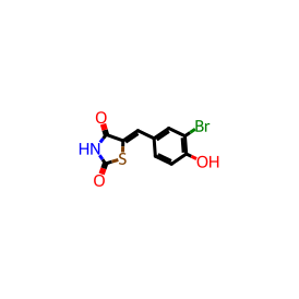 O=C1NC(=O)/C(=C/c2ccc(O)c(Br)c2)S1